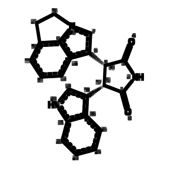 O=C1NC(=O)[C@@H](c2cn3c4c(cccc24)CC3)[C@H]1c1c[nH]c2ccccc12